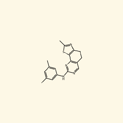 Cc1cc(C)cc(Nc2ncc3c(n2)-c2sc(C)nc2CC3)c1